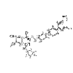 C=N/N=C(\C=C\N)c1ccc(-c2ccc(CCNC(=O)c3cc(Cl)ccc3OCc3ccccc3)cc2)cc1